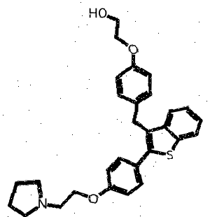 OCCOc1ccc(Cc2c(-c3ccc(OCCN4CCCC4)cc3)sc3ccccc23)cc1